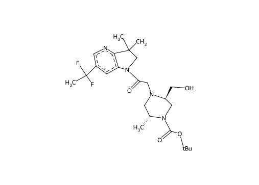 C[C@@H]1CN(CC(=O)N2CC(C)(C)c3ncc(C(C)(F)F)cc32)[C@@H](CO)CN1C(=O)OC(C)(C)C